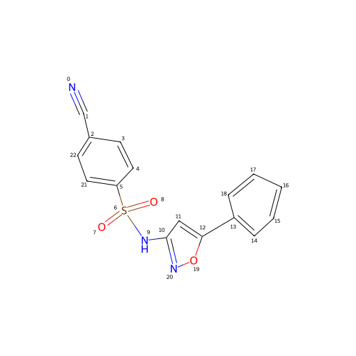 N#Cc1ccc(S(=O)(=O)Nc2cc(-c3ccccc3)on2)cc1